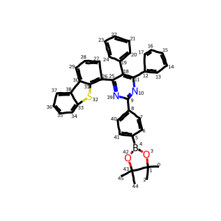 CC1(C)OB(c2ccc(-c3nc(-c4ccccc4)c(-c4ccccc4)c(-c4cccc5c4sc4ccccc45)n3)cc2)OC1(C)C